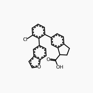 O=C(O)C1CCc2ccc(-c3cccc(Cl)c3-c3ccc4occc4c3)cc21